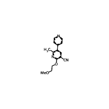 COCCOc1nc(C)c(-c2ccncc2)cc1C#N